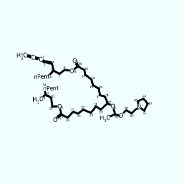 C=C=C=C=CC(CCCCC)CCOC(=O)CCCCCCCC(CCCCCCCC(=O)OCCC(C)CCCCC)OC(C)OCCN1CCCC1